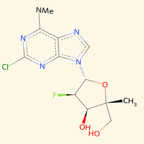 CNc1nc(Cl)nc2c1ncn2[C@@H]1O[C@](C)(CO)[C@@H](O)[C@H]1F